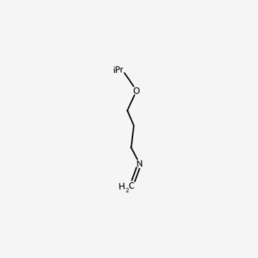 C=NCCCOC(C)C